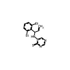 C=CC(Nn1cncnc1=S)c1c(CC)cccc1CC